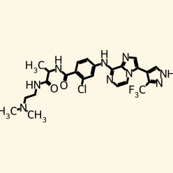 CC(NC(=O)c1ccc(Nc2nccn3c(-c4c[nH]nc4C(F)(F)F)cnc23)cc1Cl)C(=O)NCCN(C)C